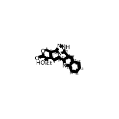 CC[C@@]1(O)C(=O)OCC2=C1C=C1c3nc4ccccc4cc3C3NN=C2N13